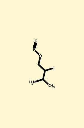 CC(N)C(F)COP=O